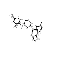 Cc1cnc(-n2nccn2)c(C(=O)N2CCC[C@@H](Oc3ncc(C(F)(F)F)cc3Cl)C2)c1